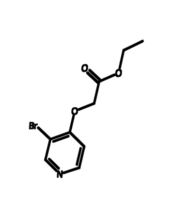 CCOC(=O)COc1ccncc1Br